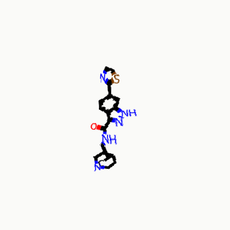 O=C(NCC1CN2CCC1CC2)c1n[nH]c2cc(-c3nccs3)ccc12